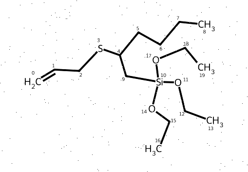 C=CCSC(CCCC)C[Si](OCC)(OCC)OCC